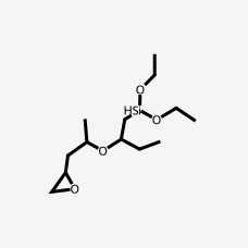 CCO[SiH](CC(CC)OC(C)CC1CO1)OCC